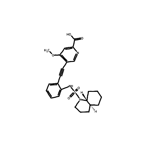 COc1cc(C(=O)O)ncc1C#Cc1ccccc1NS(=O)(=O)N1CCC[C@@H]2CCCC[C@H]21